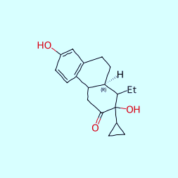 CCC1[C@@H]2CCc3cc(O)ccc3C2CC(=O)C1(O)C1CC1